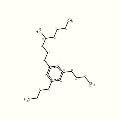 CCCCc1cc(CC[CH]C(C)CCCC)cc(CCCC)c1